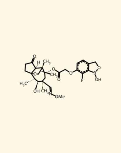 CON=C[C@]1(C)C[C@@H](OC(=O)COc2ccc3c(c2F)B(O)OC3)[C@]2(C)[C@H](C)CC[C@]3(CCC(=O)[C@H]32)[C@@H](C)[C@@H]1O